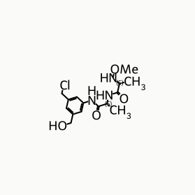 CON[C@@H](C)C(=O)N[C@@H](C)C(=O)Nc1cc(CO)cc(CCl)c1